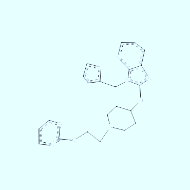 c1cnc(NCCN2CCC(Nc3nc4cccnc4n3Cc3ccco3)CC2)nc1